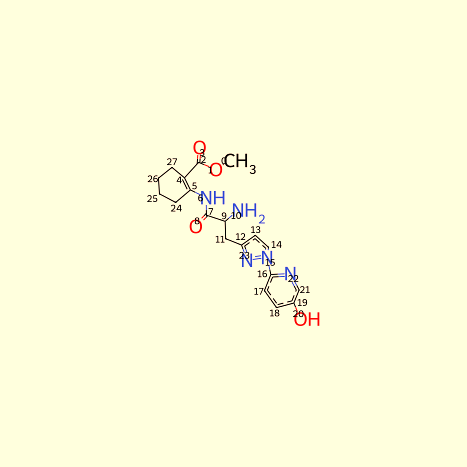 COC(=O)C1=C(NC(=O)C(N)Cc2ccn(-c3ccc(O)cn3)n2)CCCC1